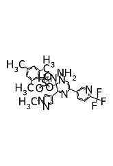 Cc1cc(C)c(S(=O)(=O)OC2(N)C(c3cnn(C)c3)=NC(c3ccc(C(F)(F)F)nc3)=CN2N)c(C)c1